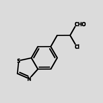 O=CC(Cl)Cc1ccc2ncsc2c1